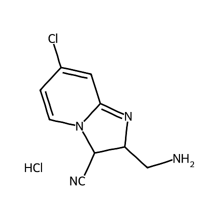 Cl.N#CC1C(CN)N=C2C=C(Cl)C=CN21